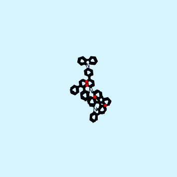 c1ccc(-c2ccccc2-c2ccccc2N(c2ccc(-c3ccc(-n4c5ccccc5c5ccccc54)cc3)cc2)c2ccc3c(c2)C2(c4ccccc4-3)c3ccccc3-n3c4ccccc4c4cccc2c43)cc1